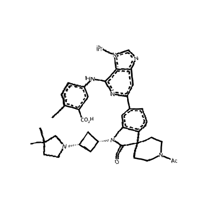 CC(=O)N1CCC2(CC1)C(=O)N([C@H]1C[C@@H](N3CCC(C)(C)C3)C1)c1cc(-c3cc4ncn(C(C)C)c4c(Nc4ccc(C)c(C(=O)O)c4)n3)ccc12